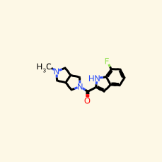 CN1CC2CN(C(=O)c3cc4cccc(F)c4[nH]3)CC2C1